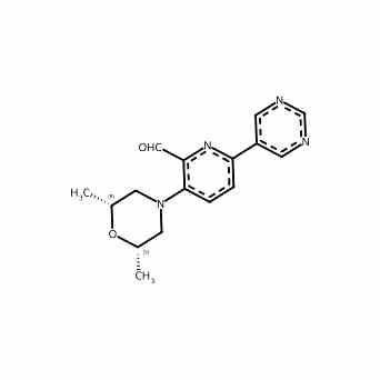 C[C@@H]1CN(c2ccc(-c3cncnc3)nc2C=O)C[C@H](C)O1